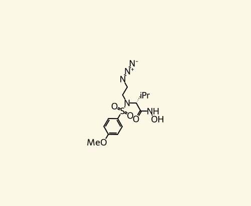 COc1ccc(S(=O)(=O)N(CCN=[N+]=[N-])[C@@H](C(=O)NO)C(C)C)cc1